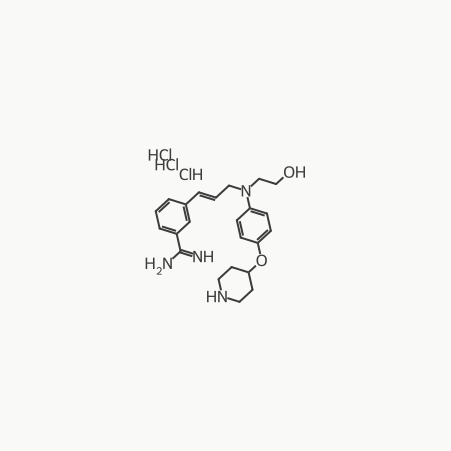 Cl.Cl.Cl.N=C(N)c1cccc(/C=C/CN(CCO)c2ccc(OC3CCNCC3)cc2)c1